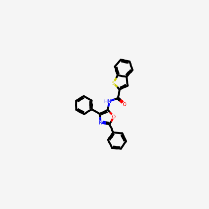 O=C(Nc1oc(-c2ccccc2)nc1-c1ccccc1)c1cc2ccccc2s1